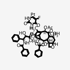 CC(=O)O[C@H]1C(=O)[C@@]2(C)[C@H]([C@H](OC(=O)c3ccccc3)[C@]3(O)C[C@H](OC(=O)[C@H](O)[C@@H](NC(=O)c4ccccc4)c4ccccc4)C(C)=C1C3(C)C)[C@]1(OC(C)=O)CO[C@@H]1C[C@@H]2O.O=c1[nH]cc(F)c(=O)[nH]1.[Pt]